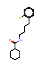 O=C(NCCCCc1ccccc1S)C1CCCCC1